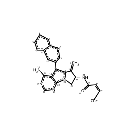 C=C1c2c(-c3cnc4ccccc4c3)c3c(N)ncnc3n2C[C@H]1NC(=O)/C=C\Cl